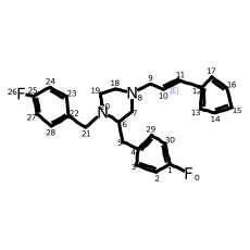 Fc1ccc(CC2CN(C/C=C/c3ccccc3)CCN2Cc2ccc(F)cc2)cc1